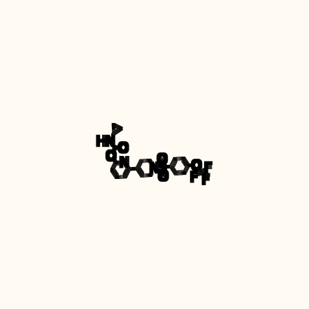 O=C(NC1CC1)Oc1cccc(C2=CCN(S(=O)(=O)c3ccc(OC(F)(F)F)cc3)CC2)n1